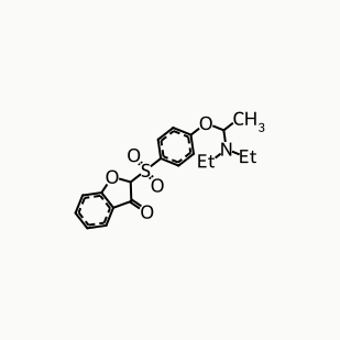 CCN(CC)C(C)Oc1ccc(S(=O)(=O)C2Oc3ccccc3C2=O)cc1